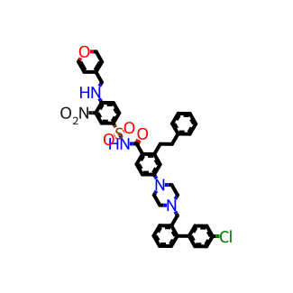 O=C(NS(=O)(=O)c1ccc(NCC2=CCOC=C2)c([N+](=O)[O-])c1)c1ccc(N2CCN(Cc3ccccc3-c3ccc(Cl)cc3)CC2)cc1CCc1ccccc1